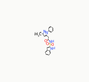 Cc1cc(CC(=O)NS(=O)(=O)c2cc3ccccc3[nH]2)n(-c2ccccc2)n1